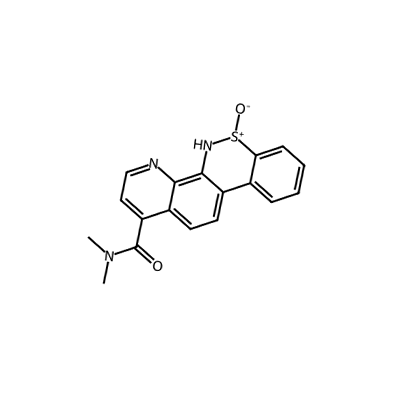 CN(C)C(=O)c1ccnc2c3c(ccc12)-c1ccccc1[S+]([O-])N3